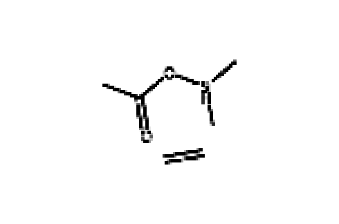 C=C.CC(=O)O[SiH](C)C